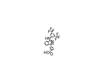 O=C(O)c1ccc(-c2nnc(Nc3cc(C(F)(F)F)cc(C(F)(F)F)c3)c3ccccc23)s1